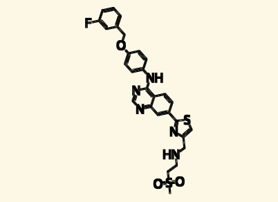 CS(=O)(=O)CCNCc1csc(-c2ccc3c(Nc4ccc(OCc5cccc(F)c5)cc4)ncnc3c2)n1